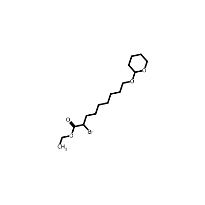 CCOC(=O)C(Br)CCCCCCCOC1CCCCO1